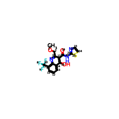 COCc1nc2c(C(F)(F)F)cccc2c(O)c1C(=O)Nc1nccs1